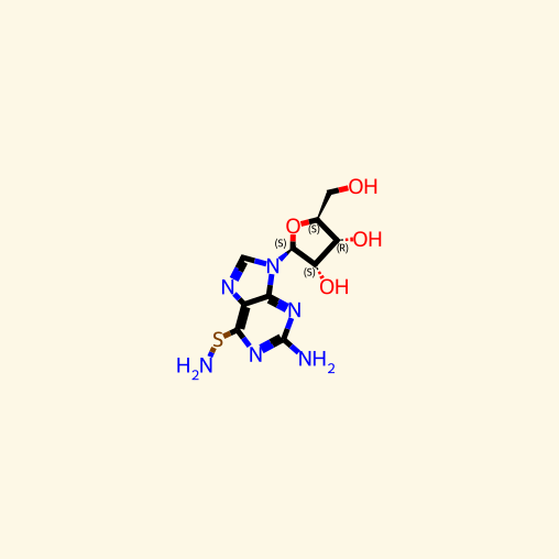 NSc1nc(N)nc2c1ncn2[C@H]1O[C@@H](CO)[C@H](O)[C@@H]1O